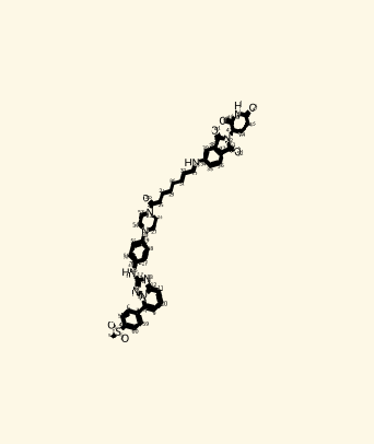 CS(=O)(=O)c1ccc(-c2cccc3nc(Nc4ccc(N5CCN(C(=O)CCCCCCCNc6ccc7c(c6)C(=O)N(C6CCC(=O)NC6=O)C7=O)CC5)cc4)nn23)cc1